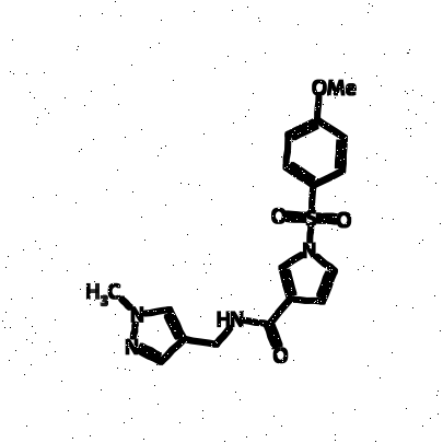 COc1ccc(S(=O)(=O)n2ccc(C(=O)NCc3cnn(C)c3)c2)cc1